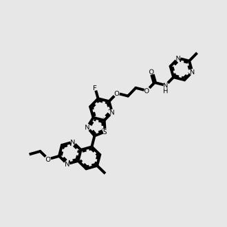 CCOc1cnc2c(-c3nc4cc(F)c(OCCOC(=O)Nc5cnc(C)nc5)nc4s3)cc(C)cc2n1